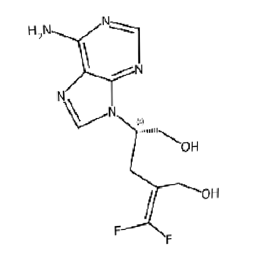 Nc1ncnc2c1ncn2[C@H](CO)CC(CO)=C(F)F